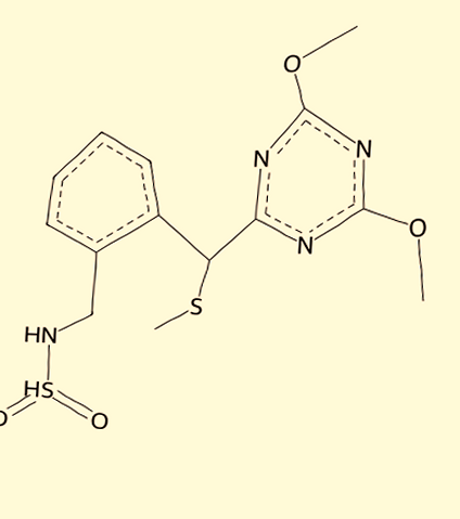 COc1nc(OC)nc(C(SC)c2ccccc2CN[SH](=O)=O)n1